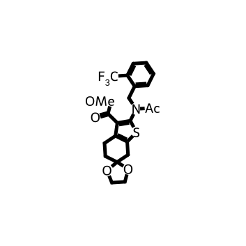 COC(=O)c1c(N(Cc2ccccc2C(F)(F)F)C(C)=O)sc2c1CCC1(C2)OCCO1